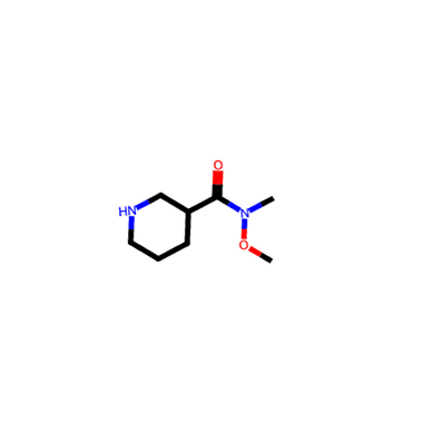 CON(C)C(=O)C1CCCNC1